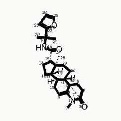 CN1C(=O)CC[C@@]2(C)C1=CC[C@H]1[C@@H]3CC[C@H](C(=O)NC(C)(C)c4ccco4)[C@@]3(C)CC[C@@H]12